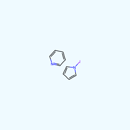 In1cccc1.c1ccncc1